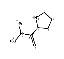 CC(C)(C)N(C(=O)[C@@H]1CCCN1)C(C)(C)C